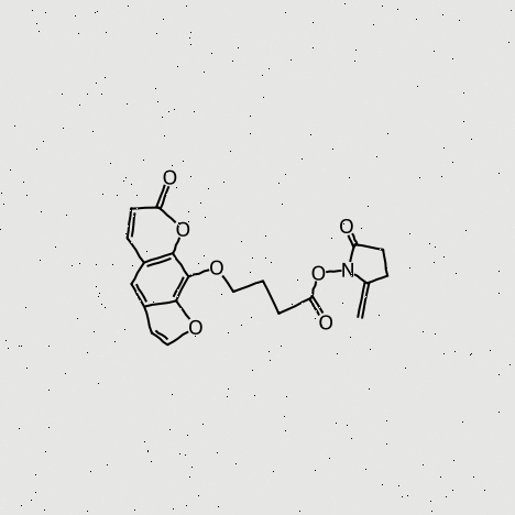 C=C1CCC(=O)N1OC(=O)CCCOc1c2occc2cc2ccc(=O)oc12